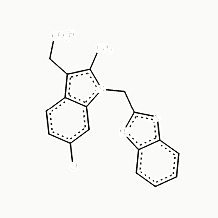 Cc1c(CC(=O)O)c2ccc(Cl)cc2n1Cc1nc2ccccc2s1